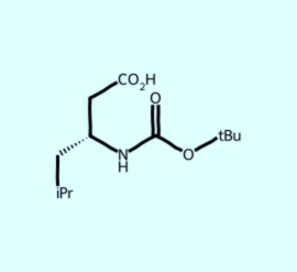 CC(C)C[C@H](CC(=O)O)NC(=O)OC(C)(C)C